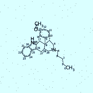 CCCCCN1CCC2(c3cccc(OC)c3)Cc3[nH]c4ccccc4c3CC2C1